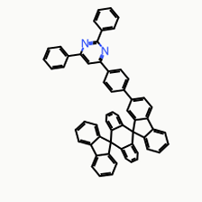 c1ccc(-c2cc(-c3ccc(-c4ccc5c(c4)C4(c6ccccc6-5)c5ccccc5C5(c6ccccc6-c6ccccc65)c5ccccc54)cc3)nc(-c3ccccc3)n2)cc1